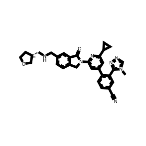 Cn1cnnc1-c1cc(C#N)ccc1-c1cc(C2CC2)nc(N2Cc3ccc(CNC[C@H]4CCOC4)cc3C2=O)c1